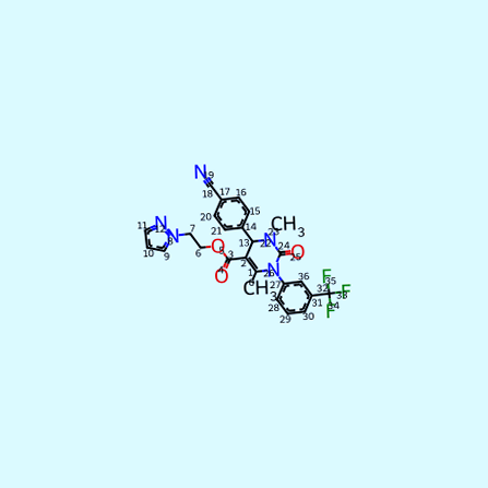 CC1=C(C(=O)OCCn2cccn2)C(c2ccc(C#N)cc2)N(C)C(=O)N1c1cccc(C(F)(F)F)c1